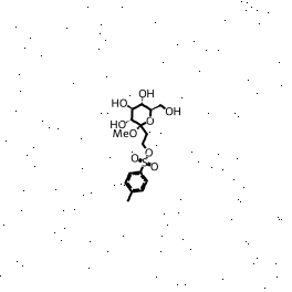 CO[C@]1(CCOS(=O)(=O)c2ccc(C)cc2)O[C@H](CO)[C@@H](O)[C@H](O)[C@H]1O